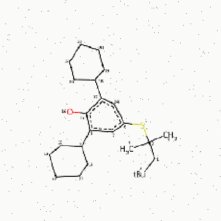 CC(C)(C)CC(C)(C)Sc1cc(C2CCCCC2)c([O])c(C2CCCCC2)c1